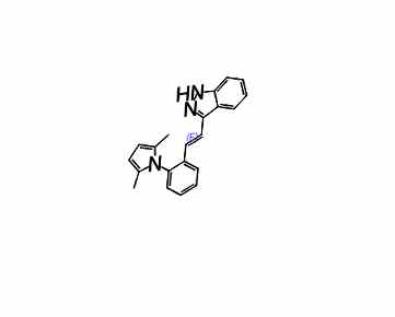 Cc1ccc(C)n1-c1ccccc1/C=C/c1n[nH]c2ccccc12